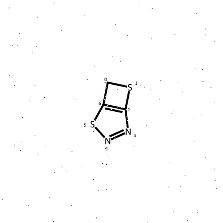 [CH]1Sc2nnsc21